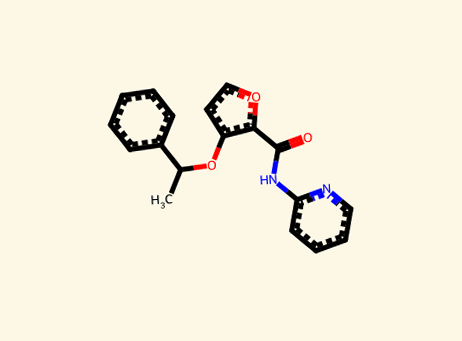 CC(Oc1ccoc1C(=O)Nc1ccccn1)c1ccccc1